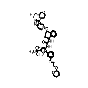 C[C@H]1COCCN1c1nnc2n1CN(O[C@@H]1CC[C@H](NC(=O)Nc3cc(C(C)(C)C)nn3-c3cccc(OCCOC4CCCCO4)c3)c3ccccc31)C=C2